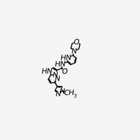 Cn1cc(C2=NN3C(C(=O)NC4=CC=CC(N5CCOCC5)N4)=CNC3C=C2)cn1